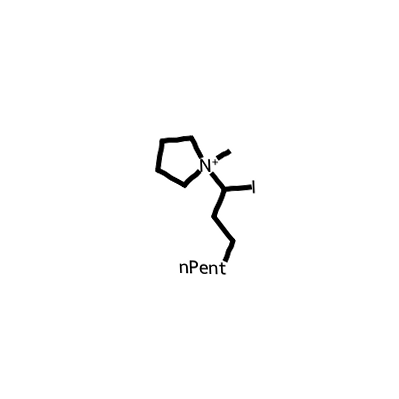 CCCCCCCC(I)[N+]1(C)CCCC1